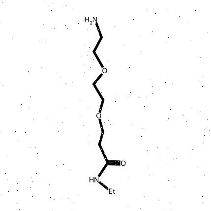 CCNC(=O)CCOCCOCCN